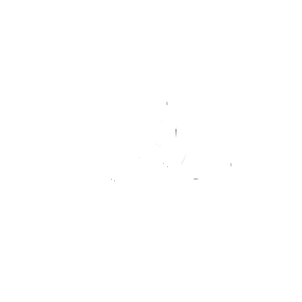 CC(C)CCNCC(O)Cn1c2ccc(Br)cc2c2cc(Br)ccc21